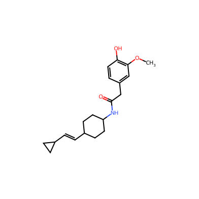 COc1cc(CC(=O)NC2CCC(C=CC3CC3)CC2)ccc1O